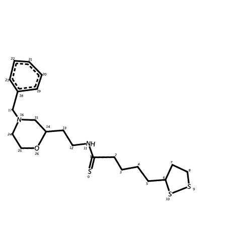 S=C(CCCCC1CCSS1)NCCC1CN(Cc2ccccc2)CCO1